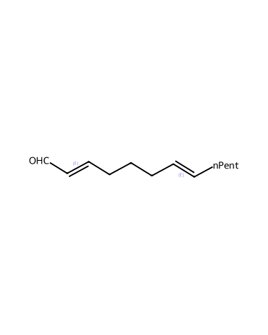 CCCCC/C=C/CCC/C=C/C=O